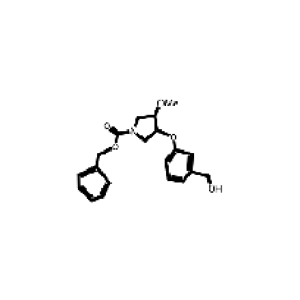 COC1CN(C(=O)OCc2ccccc2)CC1Oc1cccc(CO)c1